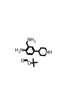 CC(C)(C)OC=O.NCc1cc(C2CCNCC2)ccc1N